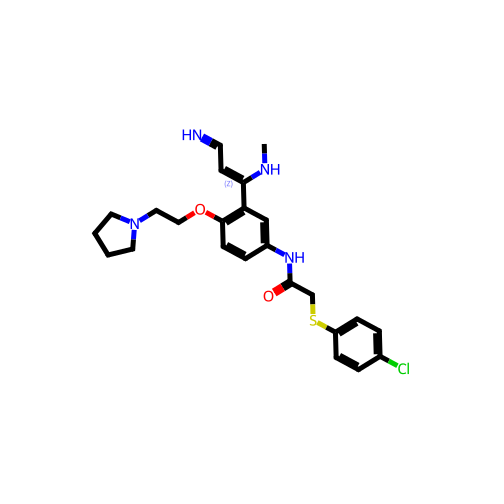 CN/C(=C\C=N)c1cc(NC(=O)CSc2ccc(Cl)cc2)ccc1OCCN1CCCC1